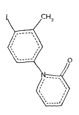 Cc1cc(-n2ccccc2=O)ccc1I